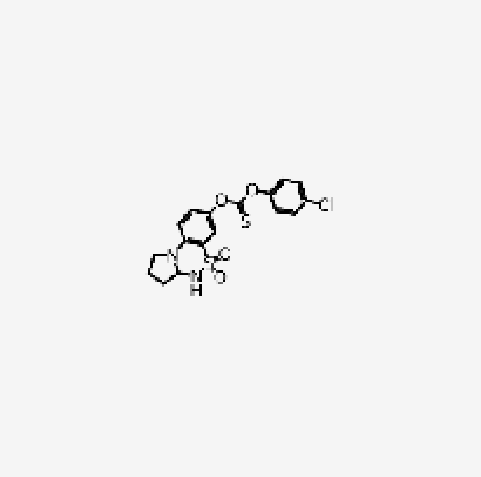 O=S1(=O)NC2CCCN2c2ccc(OC(=S)Oc3ccc(Cl)cc3)cc21